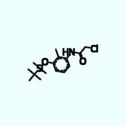 Cc1c(NC(=O)CCl)cccc1O[Si](C)(C)C(C)(C)C